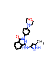 Cc1cc(Nc2nn(-c3ccc(N4CCOCC4)cc3)c(=O)c3ccccc23)n[nH]1